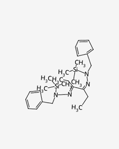 CCC(=NN(Cc1ccccc1)[Si](C)(C)C)C(CC)=NN(Cc1ccccc1)[Si](C)(C)C